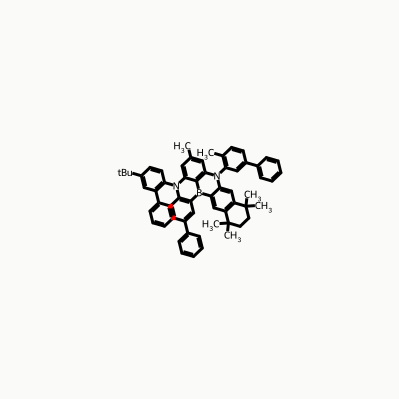 Cc1cc2c3c(c1)N(c1ccc(C(C)(C)C)cc1-c1ccccc1)c1ccc(-c4ccccc4)cc1B3c1cc3c(cc1N2c1cc(-c2ccccc2)ccc1C)C(C)(C)CCC3(C)C